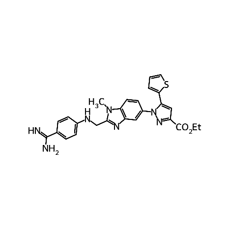 CCOC(=O)c1cc(-c2cccs2)n(-c2ccc3c(c2)nc(CNc2ccc(C(=N)N)cc2)n3C)n1